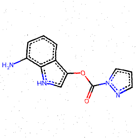 Nc1cccc2c(OC(=O)n3cccn3)c[nH]c12